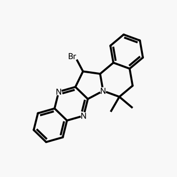 CC1(C)Cc2ccccc2C2C(Br)c3nc4ccccc4nc3N21